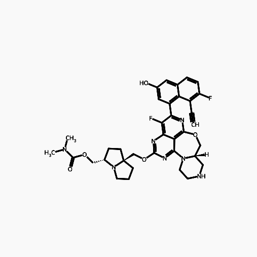 C#Cc1c(F)ccc2cc(O)cc(-c3nc4c5c(nc(OC[C@@]67CCCN6[C@H](COC(=O)N(C)C)CC7)nc5c3F)N3CCNC[C@H]3CO4)c12